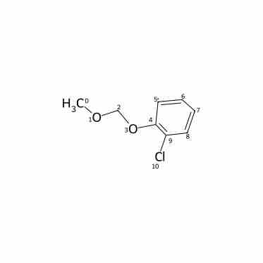 COCOc1[c]cccc1Cl